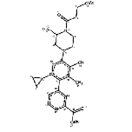 COCCC(=O)N1CCN(c2nc(C3CC3)c(-c3cccc(C(=O)OC)c3)c(C)c2C#N)CC1C